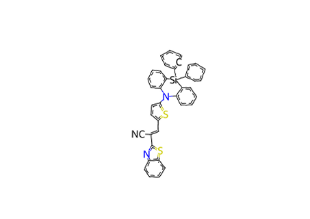 N#C/C(=C\c1ccc(N2c3ccccc3[Si](c3ccccc3)(c3ccccc3)c3ccccc32)s1)c1nc2ccccc2s1